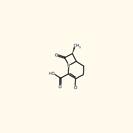 C[C@@H]1C(=O)N2C(C(=O)O)=C(Cl)CCC12